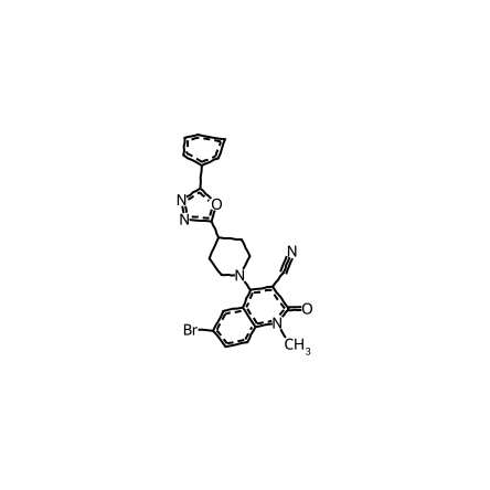 Cn1c(=O)c(C#N)c(N2CCC(c3nnc(-c4ccccc4)o3)CC2)c2cc(Br)ccc21